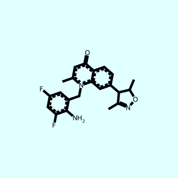 CC1=NOC(C)C1c1ccc2c(=O)cc(C)n(Cc3cc(F)cc(F)c3N)c2c1